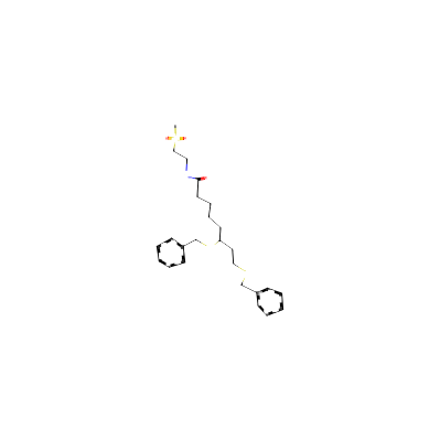 CS(=O)(=O)CCNC(=O)CCCCC(CCSCc1ccccc1)SCc1ccccc1